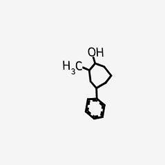 CC1CC(c2ccccc2)CCCC1O